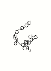 Cc1cc(/C=C/C(=O)N2CCN(Cc3ccc(CCOCc4ccc(Cl)cc4)cc3)CC2)cc(Cl)c1Oc1ccc(OCc2ccccc2Cl)cn1